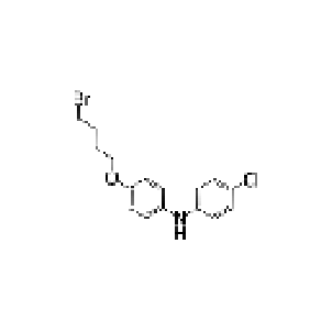 Clc1ccc(Nc2ccc(OCCCCBr)cc2)cc1